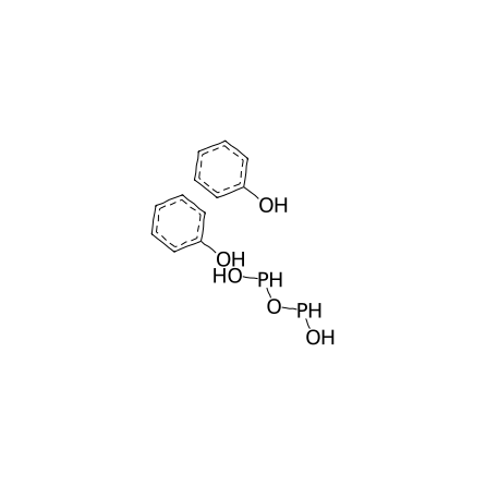 OPOPO.Oc1ccccc1.Oc1ccccc1